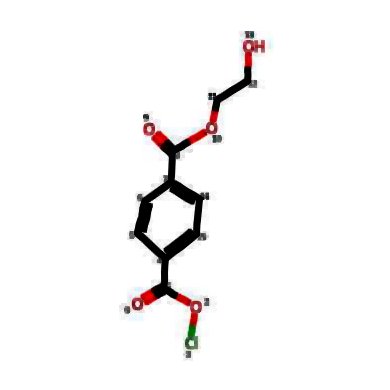 O=C(OCl)c1ccc(C(=O)OCCO)cc1